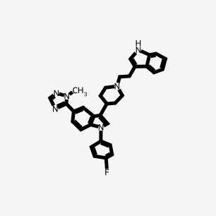 Cn1ncnc1-c1ccc2c(c1)c(C1CCN(CCc3c[nH]c4ccccc34)CC1)cn2-c1ccc(F)cc1